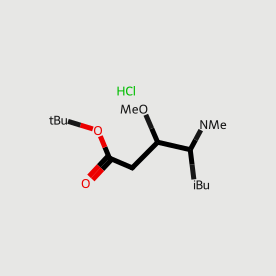 CCC(C)C(NC)C(CC(=O)OC(C)(C)C)OC.Cl